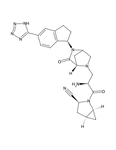 N#C[C@@H]1C[C@@H]2C[C@@H]2N1C(=O)[C@@H](N)CN1CC2C[C@H]1C(=O)N2[C@@H]1CCc2cc(-c3nnn[nH]3)ccc21